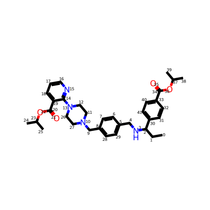 CCC(NCc1ccc(CN2CCN(c3ncccc3C(=O)OC(C)C)CC2)cc1)c1ccc(C(=O)OC(C)C)cc1